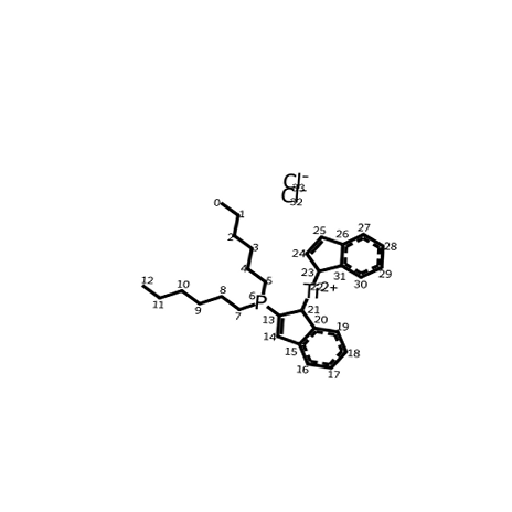 CCCCCCP(CCCCCC)C1=Cc2ccccc2[CH]1[Ti+2][CH]1C=Cc2ccccc21.[Cl-].[Cl-]